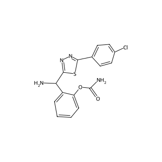 NC(=O)Oc1ccccc1C(N)c1nnc(-c2ccc(Cl)cc2)s1